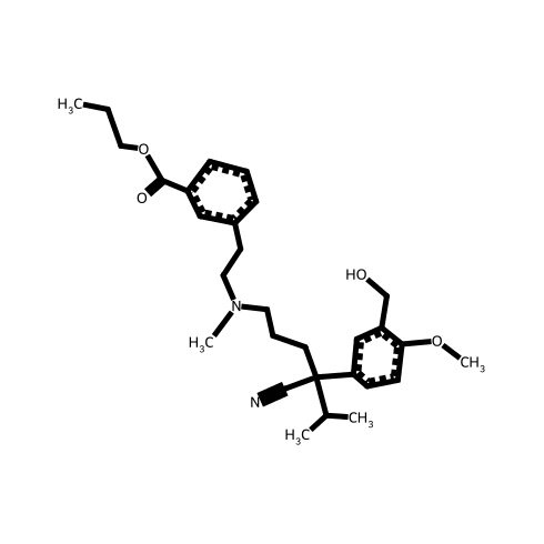 CCCOC(=O)c1cccc(CCN(C)CCCC(C#N)(c2ccc(OC)c(CO)c2)C(C)C)c1